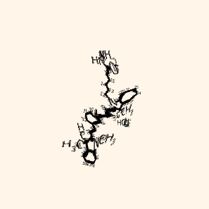 C[N+]1=C(/C=C/C2=CC(=C/C=C3/N(CCCCCC(=O)NN)c4ccccc4C3(C)C)/CCC2)C(C)(C)c2ccccc21.Cl.[Cl-]